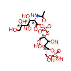 CC(=O)N[C@H](C(=O)OS(=O)(=O)O[C@@H](C=O)[C@@H](O)[C@H](O)[C@@H](CO)OS(=O)(=O)O)[C@@H](O)[C@H](O)[C@H](O)CO